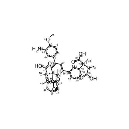 COc1ccc(C2=CC(c3ccccn3)([N+](C)(C(=O)O)N(C)C(=O)O)NC(c3cccc([N+](C)(C(=O)O)N(C)C(=O)O)n3)=C2)cc1N